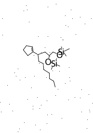 CCCCCCCC(CC(CO[Si](C)(C)C)O[Si](C)(C)C)C1=CCCC1